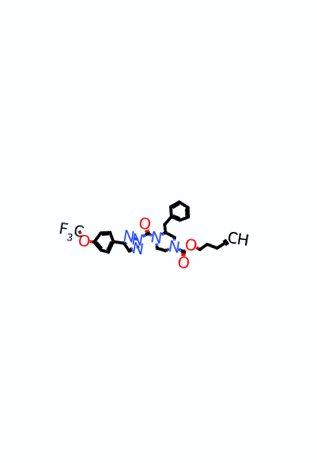 C#CCCCOC(=O)N1CCN(C(=O)n2ncc(-c3ccc(OC(F)(F)F)cc3)n2)C(Cc2ccccc2)C1